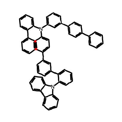 c1ccc(-c2ccc(-c3cccc(N(c4ccc(-c5cccc(-c6ccccc6-n6c7ccccc7c7ccccc76)c5)cc4)c4ccccc4-c4ccccc4)c3)cc2)cc1